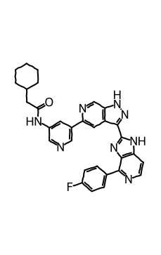 O=C(CC1CCCCC1)Nc1cncc(-c2cc3c(-c4nc5c(-c6ccc(F)cc6)nccc5[nH]4)n[nH]c3cn2)c1